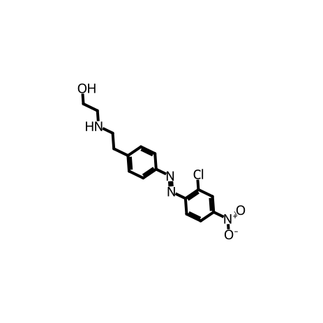 O=[N+]([O-])c1ccc(N=Nc2ccc(CCNCCO)cc2)c(Cl)c1